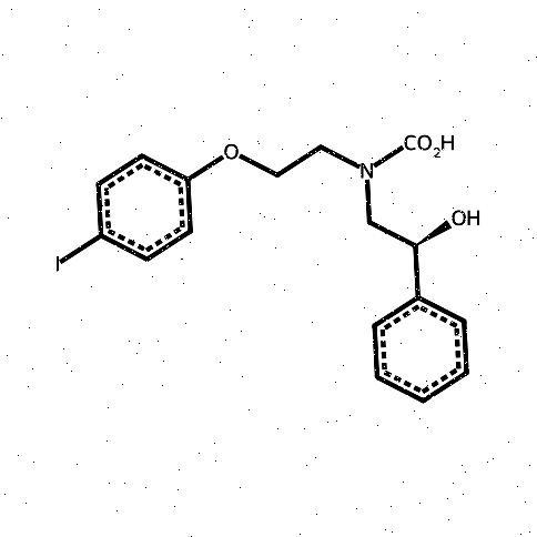 O=C(O)N(CCOc1ccc(I)cc1)C[C@@H](O)c1ccccc1